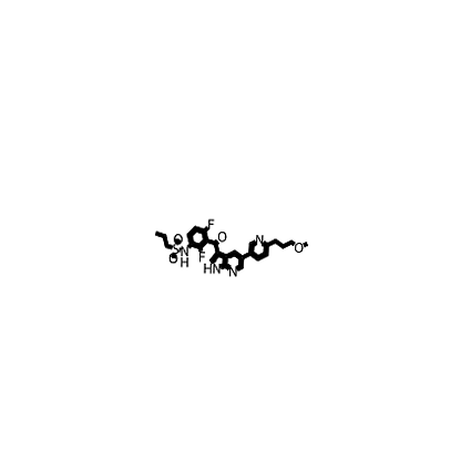 CCCS(=O)(=O)Nc1ccc(F)c(C(=O)c2c[nH]c3ncc(-c4ccc(CCCOC)nc4)cc23)c1F